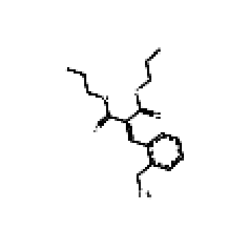 CCCOC(=O)C(=Cc1ccccc1CN)C(=O)OCCC